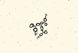 [C-]#[N+]c1ccc(N(c2ccccc2)c2ccc(-n3c4cc(N(c5ccccc5)c5ccc(C#N)cc5)ccc4c4ccc(N(c5ccccc5)c5ccc([N+]#[C-])cc5)cc43)cc2)cc1